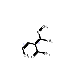 C=N/C(C)=C(\C=C/C)C(N)=O